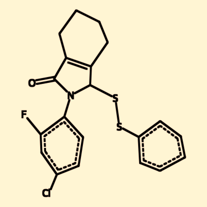 O=C1C2=C(CCCC2)C(SSc2ccccc2)N1c1ccc(Cl)cc1F